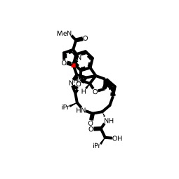 CNC(=O)c1coc(-c2nc3oc2C24c5ccccc5N[C@H]2Oc2ccc(cc24)C[C@H](NC(=O)[C@@H](O)C(C)C)C(=O)N[C@H]3C(C)C)n1